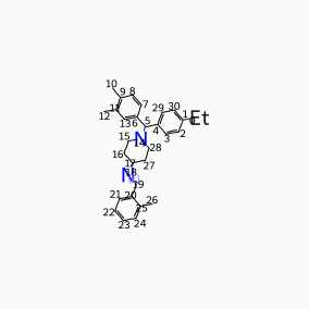 CCc1ccc(C(c2ccc(C)c(C)c2)N2CCC(/N=C/c3ccccc3C)CC2)cc1